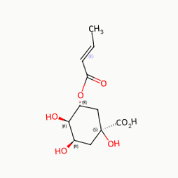 C/C=C/C(=O)O[C@@H]1C[C@](O)(C(=O)O)C[C@@H](O)[C@H]1O